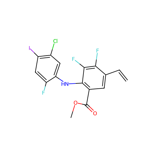 C=Cc1cc(C(=O)OC)c(Nc2cc(Cl)c(I)cc2F)c(F)c1F